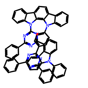 c1ccc(-c2nc(-c3ccccc3)nc(-c3ccc(-n4c5ccccc5c5ccc6c7ccccc7n(-c7nc(-c8ccccc8)nc(-c8cccc9c8c8ccccc8n9-c8ccccc8)n7)c6c54)cc3)n2)cc1